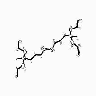 CCO[Si](C)(CCCSSCCC[Si](C)(OCC)OCC)OCC